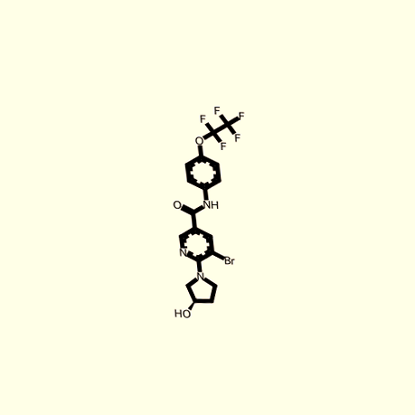 O=C(Nc1ccc(OC(F)(F)C(F)(F)F)cc1)c1cnc(N2CC[C@@H](O)C2)c(Br)c1